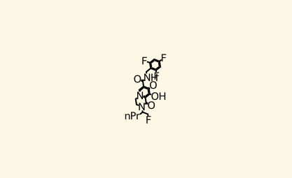 CCCC(CF)N1CCn2cc(C(=O)NCc3c(F)cc(F)cc3F)c(=O)c(O)c2C1=O